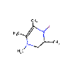 CC1=C(C)N(I)C(C)CN1C